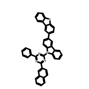 c1ccc(-c2nc(-c3ccc4ccccc4c3)nc(-n3c4ccccc4c4cc(-c5ccc6sc7ccccc7c6c5)ccc43)n2)cc1